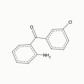 Nc1ccccc1C(=O)c1cccc(Cl)c1